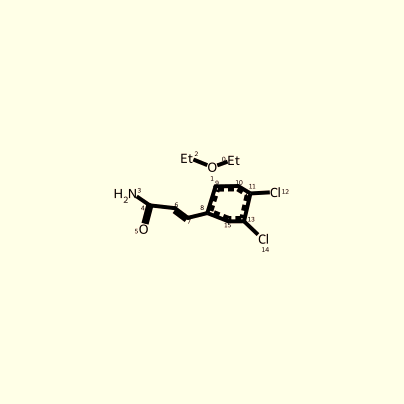 CCOCC.NC(=O)/C=C/c1ccc(Cl)c(Cl)c1